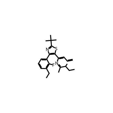 C=C/C=C(\N=C(\C)C(C)CC)c1sc(C(C)(C)C)nc1-c1cccc(CC)c1F